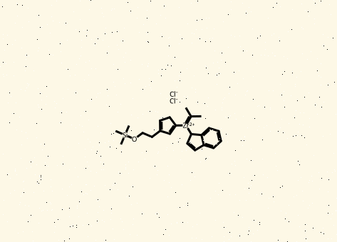 C[C](C)=[Zr+2]([C]1=CC(CCO[Si](C)(C)C)=CC1)[CH]1C=Cc2ccccc21.[Cl-].[Cl-]